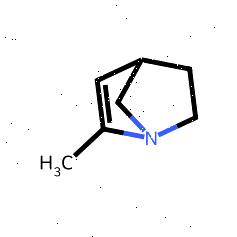 CC1=CC2CCN1C2